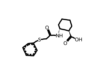 O=C(CSc1ccccc1)N[C@@H]1CCCC[C@H]1C(=O)O